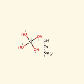 O[Si](O)(O)O.[LiH].[SnH2].[Zn]